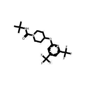 CC(C)(C)NC(=O)N1CCC(Oc2cc(C(F)(F)F)cc(C(F)(F)F)n2)CC1